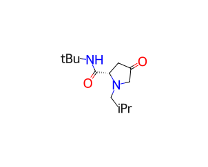 CC(C)CN1CC(=O)C[C@H]1C(=O)NC(C)(C)C